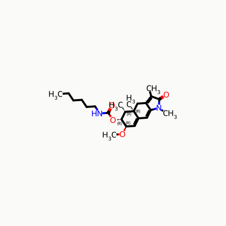 CCCCCCNC(=O)O[C@H]1[C@H](OC)C=C2C=C3C(=C(C)C(=O)N3C)C[C@]2(C)[C@H]1C